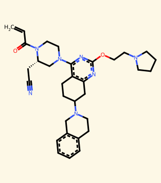 C=CC(=O)N1CCN(c2nc(OCCN3CCCC3)nc3c2CCC(N2CCc4ccccc4C2)C3)C[C@@H]1CC#N